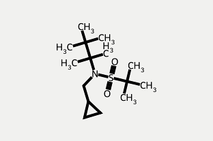 CC(C)(C)C(C)(C)N(CC1CC1)S(=O)(=O)C(C)(C)C